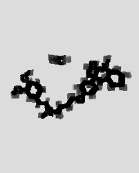 COc1ccc(CCN(C)CCCCOc2ccc(C3(SC)Sc4ccccc4N(C)C3=O)cc2)cc1OC.Cl